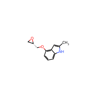 Cc1cc2c(OC[C@@H]3CO3)cccc2[nH]1